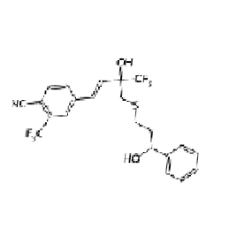 N#Cc1ccc(/C=C/C(O)(CSCCC(O)c2ccccc2)C(F)(F)F)cc1C(F)(F)F